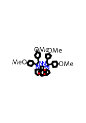 COc1ccc(C2=NC(c3cccc4ccccc34)(C3(c4cccc5ccccc45)N=C(c4ccc(OC)cc4)C(c4ccc(OC)cc4)=N3)N=C2c2ccc(OC)cc2)cc1